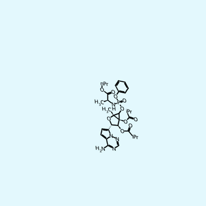 CCCOC(=O)[C@H](C)N[P@](=O)(Oc1ccccc1)OC1[C@@]2(C)O[C@@H](c3ccc4c(N)ncnn34)[C@H](OC(=O)C(C)C)[C@@]12OC(=O)C(C)C